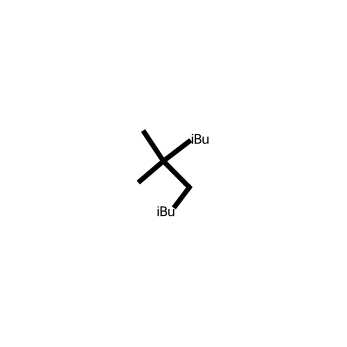 [CH2]CC(C)C(C)(C)CC(C)CC